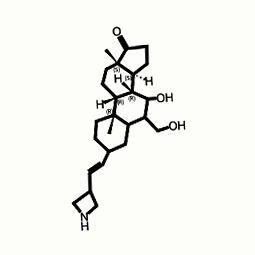 C[C@]12CCC(C=CC3CNC3)CC1C(CO)C(O)[C@@H]1[C@H]2CC[C@]2(C)C(=O)CC[C@@H]12